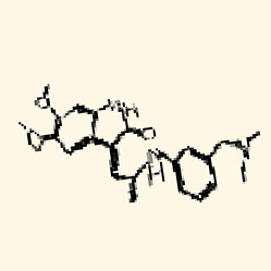 COc1cc2c(cc1OC)C(=CC(C)Nc1cccc(CN(C)C)c1)C(=O)N2